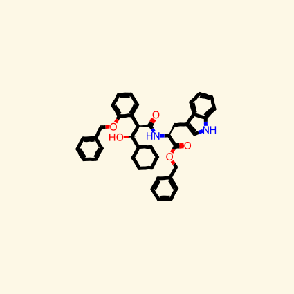 O=C(OCc1ccccc1)[C@H](Cc1c[nH]c2ccccc12)NC(=O)[C@H](c1ccccc1OCc1ccccc1)[C@H](O)C1CCCCC1